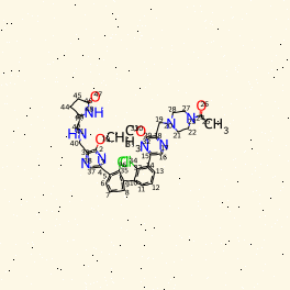 COc1nc(-c2cccc(-c3cccc(-c4cnc(CN5CCN(C(C)=O)CC5)c(OC)n4)c3Cl)c2Cl)cnc1CNC[C@H]1CCC(=O)N1